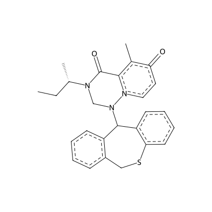 CC[C@H](C)N1CN(C2c3ccccc3CSc3ccccc32)n2ccc(=O)c(C)c2C1=O